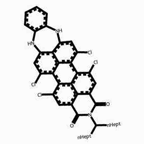 CCCCCCCC(CCCCCCC)N1C(=O)c2cc(Cl)c3c4c(Cl)cc5c6c(cc(Cl)c(c7c(Cl)cc(c2c37)C1=O)c64)Nc1ccccc1N5